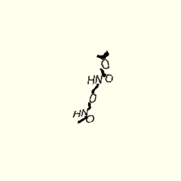 C=C(C)OCC(=O)NCCOCCNC(C)=O